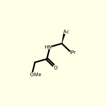 COCC(=O)N[C@@H](C(C)=O)C(C)C